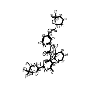 Cc1nc(C(=O)N[C@H](C)C(F)(F)F)nc2c1N1CCC[C@@H](C1)N2C(=O)Nc1cc(OC[C@H]2CCCC(C)(C)O2)ccn1